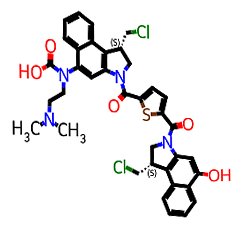 CN(C)CCN(C(=O)O)c1cc2c(c3ccccc13)[C@H](CCl)CN2C(=O)c1ccc(C(=O)N2C[C@@H](CCl)c3c2cc(O)c2ccccc32)s1